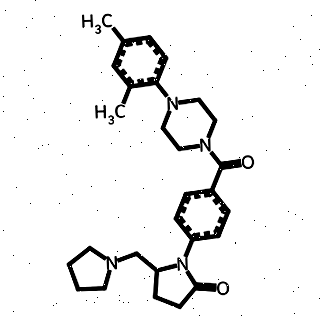 Cc1ccc(N2CCN(C(=O)c3ccc(N4C(=O)CCC4CN4CCCC4)cc3)CC2)c(C)c1